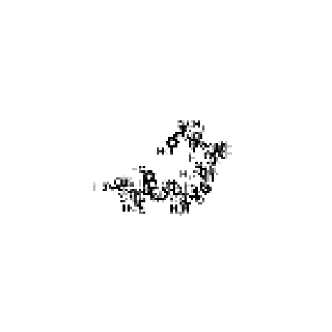 COC(=O)C(Cc1ccc(O)cc1)NN[C@@H](CS)C(=O)NCC(=O)N[C@H](C(=O)C(=O)[C@H](CS)NCC(=O)[C@H](C)NCN1CCC[C@H]1C(=O)C(=O)[C@H](CC(N)=O)NN[C@@H](CS)C(=O)N[C@@H](CS)C(=O)N[C@@H](Cc1ccc(O)cc1)C(=O)C(=O)[C@H](CCC(=O)O)NN[C@@H](CS)C(=O)N[C@@H](CS)C(=O)CSS)[C@@H](C)O